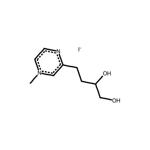 C[n+]1ccnc(CCC(O)CO)c1.[I-]